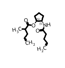 C=CCCC(=O)N[C@H]1CCC[C@@H]1OC(=O)C(C)CC=C